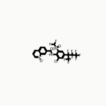 O=C(Nc1c(Cl)cc(C(F)(C(F)(F)F)C(F)(F)C(F)(F)F)cc1S(=O)(=O)C(F)F)c1ccc2ccc[n+]([O-])c2c1